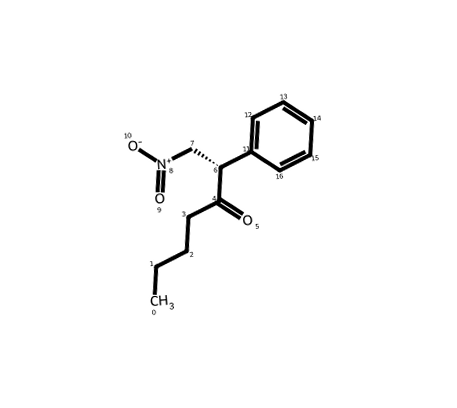 CCCCC(=O)[C@H](C[N+](=O)[O-])c1ccccc1